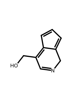 OCC1=C2C=CC=C2CN=C1